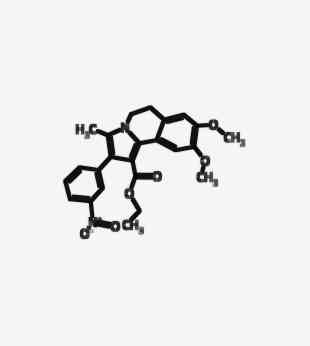 CCOC(=O)c1c(-c2cccc([N+](=O)[O-])c2)c(C)n2c1-c1cc(OC)c(OC)cc1CC2